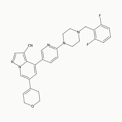 N#Cc1cnn2cc(C3=CCOCC3)cc(-c3ccc(N4CCN(Cc5c(F)cccc5F)CC4)nc3)c12